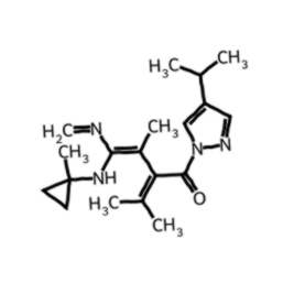 C=N/C(NC1(C)CC1)=C(\C)C(C(=O)n1cc(C(C)C)cn1)=C(C)C